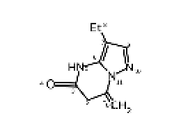 C=C1CC(=O)Nc2c(CC)cnn21